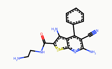 N#Cc1c(N)nc2sc(C(=O)NCCN)c(N)c2c1-c1ccccc1